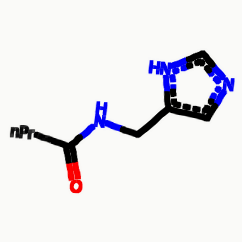 CCCC(=O)NCc1cnc[nH]1